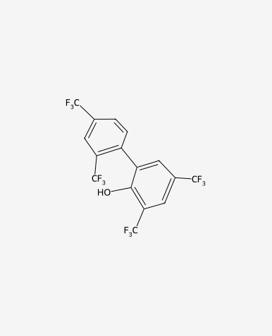 Oc1c(-c2ccc(C(F)(F)F)cc2C(F)(F)F)cc(C(F)(F)F)cc1C(F)(F)F